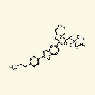 CCCc1ccc(-c2nc3ccc(S(=O)(=O)C4(C(=O)OC(C)(C)C)CCOCC4)cc3s2)cc1